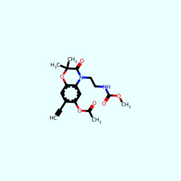 C#Cc1cc2c(cc1OC(C)=O)N(CCNC(=O)OC)C(=O)C(C)(C)O2